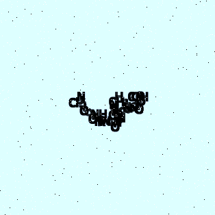 CC[C@@]1(O)C(=O)OCc2c1cc1n(c2=O)Cc2cc3c(CN4CCN(C(=O)C5CCN(c6ccc(C(=O)N[C@H]7CC[C@H](Oc8ccc(C#N)c(Cl)c8)CC7)nn6)CC5)CC4)c(OC(=O)N4CCN(C)CC4)ccc3nc2-1